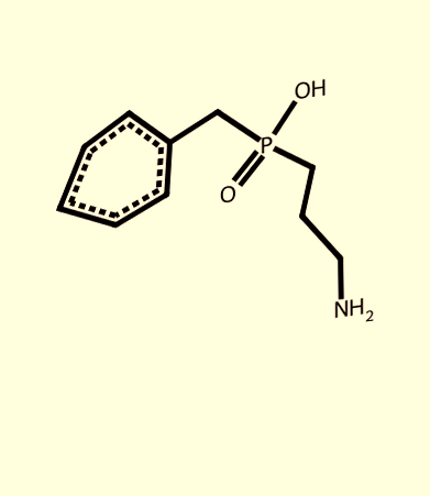 NCCCP(=O)(O)Cc1ccccc1